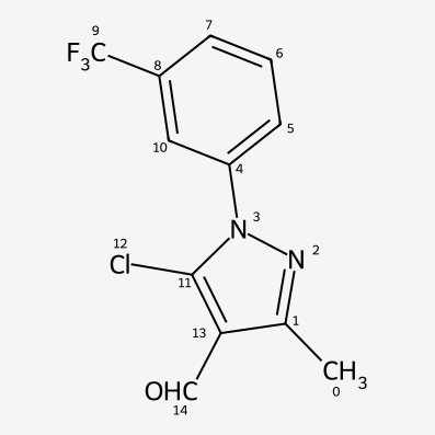 Cc1nn(-c2cccc(C(F)(F)F)c2)c(Cl)c1C=O